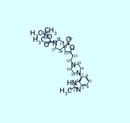 Cc1nc2cccc(N3CCN(CC[C@H]4CC5(CCN(C(=O)OC(C)(C)C)CC5)C(=O)O4)CC3)c2[nH]1